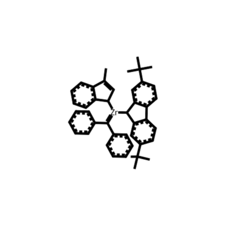 CC1=C[CH]([Zr](=[C](c2ccccc2)c2ccccc2)[CH]2c3cc(C(C)(C)C)ccc3-c3ccc(C(C)(C)C)cc32)c2ccccc21